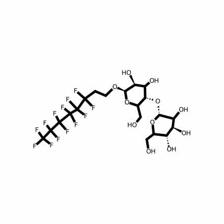 OCC1O[C@@H](OCCC(F)(F)C(F)(F)C(F)(F)C(F)(F)C(F)(F)C(F)(F)F)[C@@H](O)C(O)[C@@H]1O[C@H]1OC(CO)[C@@H](O)[C@H](O)C1O